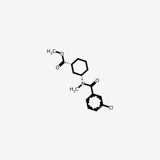 COC(=O)[C@@H]1CCC[C@H](N(C)C(=O)c2cccc(Cl)c2)C1